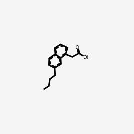 CCCCc1ccc2cccc(CC(=O)O)c2c1